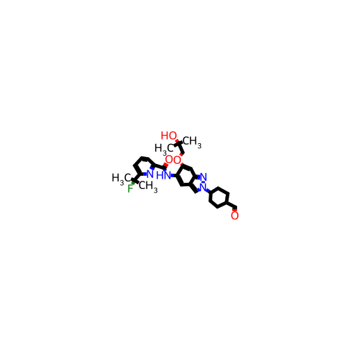 CC(C)(O)COc1cc2nn(C3CCC(C=O)CC3)cc2cc1NC(=O)c1cccc(C(C)(C)F)n1